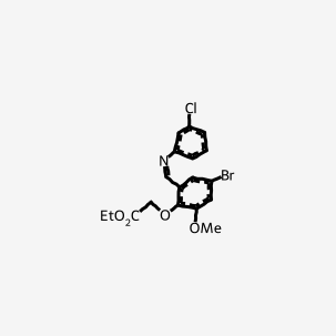 CCOC(=O)COc1c(/C=N\c2cccc(Cl)c2)cc(Br)cc1OC